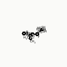 C[C@@H]1CN(c2nc(-c3cc(F)cc(OCC(S)(C(S)(S)S)C(S)(S)S)c3)ccc2C(=O)NS(=O)(=O)c2ccccc2)C(C)(C)C1